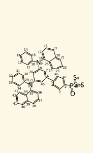 O=P(c1ccc(-c2cc(N(c3ccccc3)c3cccc4ccccc34)cc(N(c3ccccc3)c3cccc4ccccc34)c2)cc1)=S(=S)=S